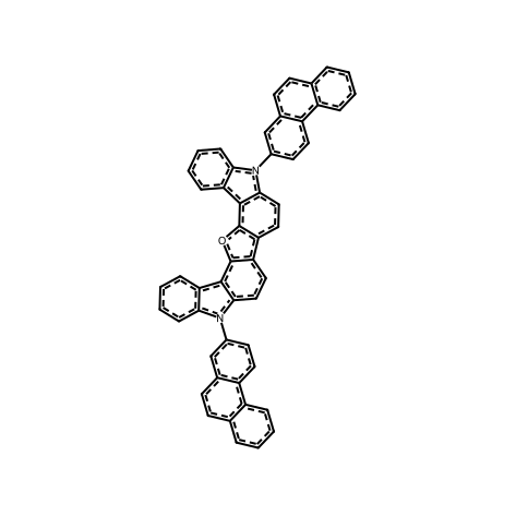 c1ccc2c(c1)ccc1cc(-n3c4ccccc4c4c5oc6c(ccc7c6c6ccccc6n7-c6ccc7c(ccc8ccccc87)c6)c5ccc43)ccc12